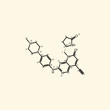 C#Cc1cc(=O)n(C[C@@H]2CCC(=O)N2)c2nc(Nc3ccc(N4CCN(C)CC4)cc3)ncc12